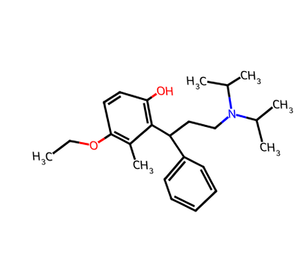 CCOc1ccc(O)c(C(CCN(C(C)C)C(C)C)c2ccccc2)c1C